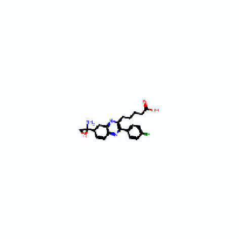 NC1(C2C=Cc3nc(-c4ccc(F)cc4)c(CCCCC(=O)O)nc3C2)CO1